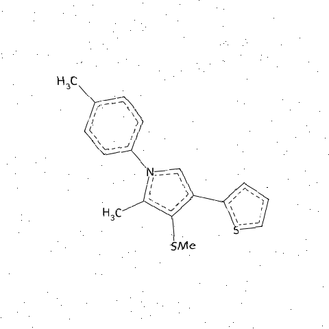 CSc1c(-c2cccs2)cn(-c2ccc(C)cc2)c1C